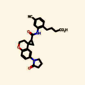 N#Cc1ccc(CCCC(=O)O)c(NC(=O)C2CC23CCOc2ccc(N4CCCC4=O)cc23)c1